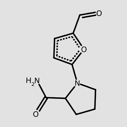 NC(=O)C1CCCN1c1ccc(C=O)o1